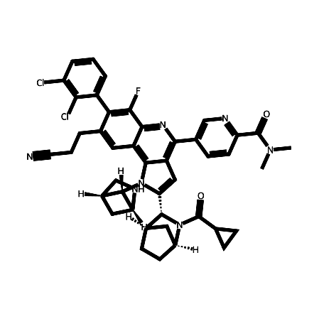 CN(C)C(=O)c1ccc(-c2nc3c(F)c(-c4cccc(Cl)c4Cl)c(CCC#N)cc3c3c2cc([C@H]2[C@@H]4CC[C@@H](C4)N2C(=O)C2CC2)n3[C@H]2[C@H]3CN[C@@H]2C3)cn1